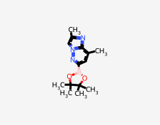 Cc1cn2nc(B3OC(C)(C)C(C)(C)O3)cc(C)c2n1